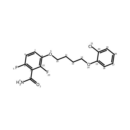 NC(=O)c1c(F)ccc(OCCCCOc2ccccc2Cl)c1F